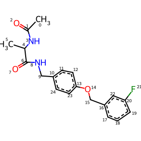 CC(=O)NC(C)C(=O)NCc1ccc(OCc2cccc(F)c2)cc1